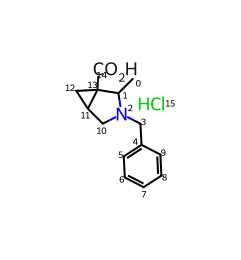 CC1N(Cc2ccccc2)CC2CC21C(=O)O.Cl